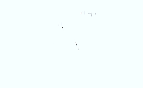 CCCCCCCC1CC[C@@H]2C[C@H](c3ccccc3)CC[C@@H]2C1